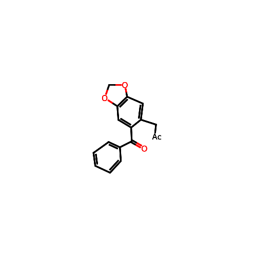 CC(=O)Cc1cc2c(cc1C(=O)c1ccccc1)OCO2